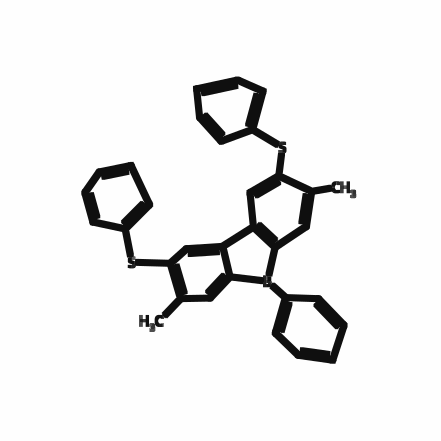 Cc1cc2c(cc1Sc1ccccc1)-c1cc(Sc3ccccc3)c(C)cc1B2c1ccccc1